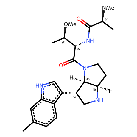 CN[C@@H](C)C(=O)N[C@H](C(=O)N1CC[C@H]2NC[C@H](c3c[nH]c4cc(C)ccc34)[C@H]21)[C@@H](C)OC